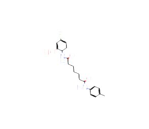 Cc1ccc(NC(=O)CCCCCC(=O)NC2CC=C(F)C=C2O)cc1